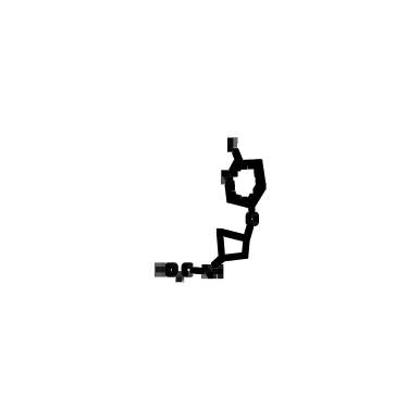 O=C(O)NC1CC(Oc2ccc(F)nc2)C1